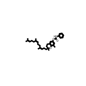 CC(C)=CCCC(C)=CCCC(C)=CCCC1(C)CCc2cc(OC(=O)Nc3ccccc3)cc(C)c2O1